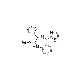 CNC1Nc2ncccc2C(c2nccs2)=NC1c1cccs1